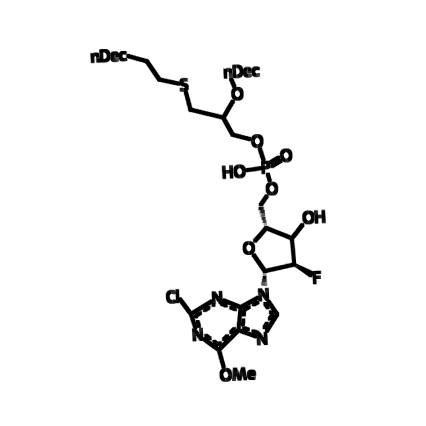 CCCCCCCCCCCCSCC(COP(=O)(O)OC[C@H]1O[C@@H](n2cnc3c(OC)nc(Cl)nc32)[C@H](F)C1O)OCCCCCCCCCC